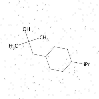 CC(C)C1CCC(CC(C)(C)O)CC1